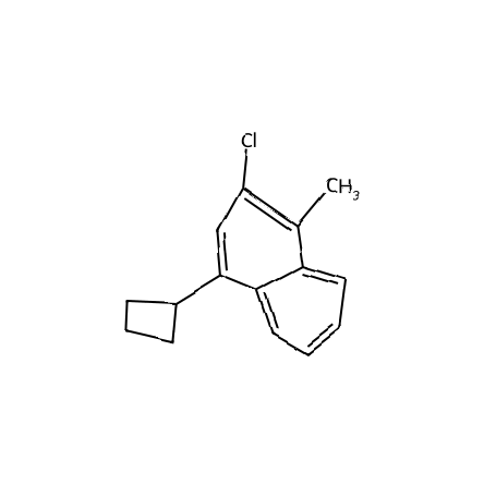 Cc1c(Cl)cc(C2CCC2)c2ccccc12